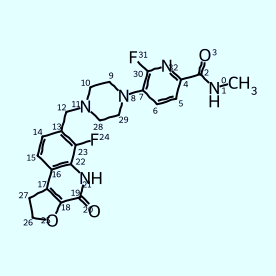 CNC(=O)c1ccc(N2CCN(Cc3ccc4c5c(c(=O)[nH]c4c3F)OCC5)CC2)c(F)n1